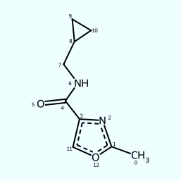 Cc1nc(C(=O)NCC2CC2)co1